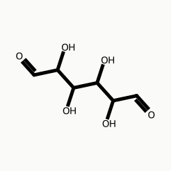 O=CC(O)C(O)C(O)C(O)C=O